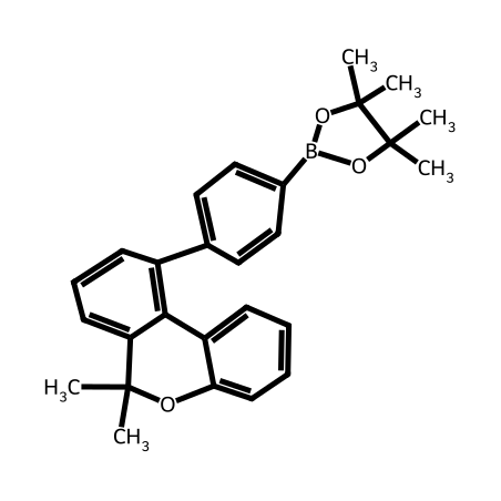 CC1(C)Oc2ccccc2-c2c(-c3ccc(B4OC(C)(C)C(C)(C)O4)cc3)cccc21